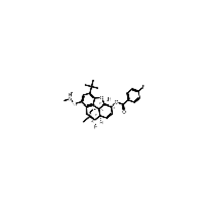 CN1CC[C@]23c4c5c(O[SiH](C)C)cc(C(C)(C)C)c4O[C@H]2[C@@H](OC(=O)c2ccc(F)cc2)C=C[C@H]3[C@H]1C5